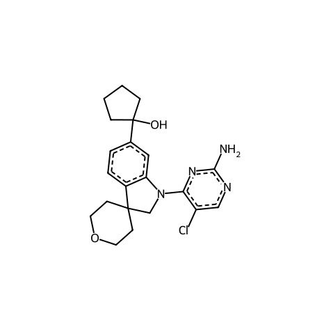 Nc1ncc(Cl)c(N2CC3(CCOCC3)c3ccc(C4(O)CCCC4)cc32)n1